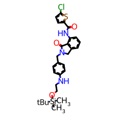 CC(C)(C)[Si](C)(C)OCCNc1ccc(CN2Cc3cccc(NC(=O)c4ccc(Cl)s4)c3C2=O)cc1